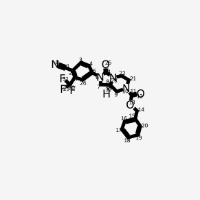 N#Cc1ccc(N2C[C@@H]3CN(C(=O)OCc4ccccc4)CCN3C2=O)cc1C(F)(F)F